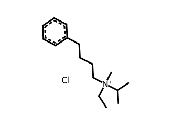 CC[N+](C)(CCCCc1ccccc1)C(C)C.[Cl-]